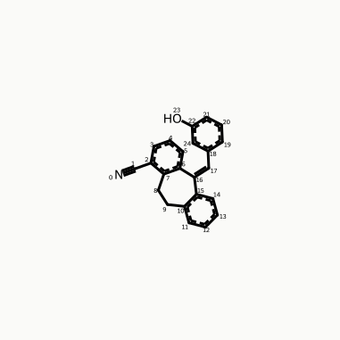 N#Cc1cccc2c1CCc1ccccc1/C2=C/c1cccc(O)c1